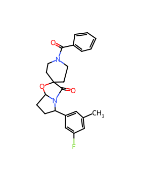 Cc1cc(F)cc(C2CCC3OC4(CCN(C(=O)c5ccccc5)CC4)C(=O)N32)c1